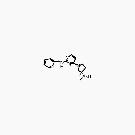 C[AsH][C@H]1CCN(c2ccnc(NCc3ccccn3)n2)C1